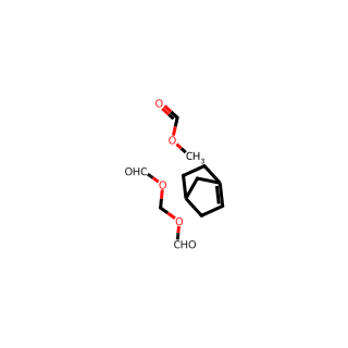 C1=C2CCC(C1)C2.COC=O.O=COCOC=O